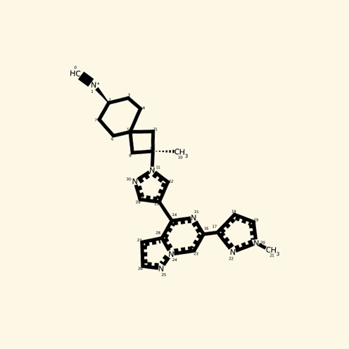 C#[N+][C@H]1CCC2(CC1)C[C@](C)(n1cc(-c3nc(-c4ccn(C)n4)cn4nccc34)cn1)C2